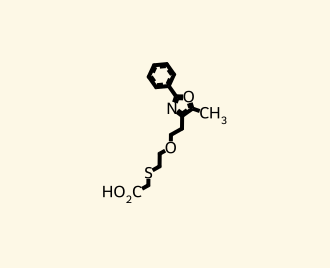 Cc1oc(-c2ccccc2)nc1CCOCCSCC(=O)O